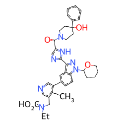 CCN(Cc1cncc(-c2ccc3c(c2)c(-c2ncc(C(=O)N4CCC(O)(c5ccccc5)CC4)[nH]2)nn3C2CCCCO2)c1C)C(=O)O